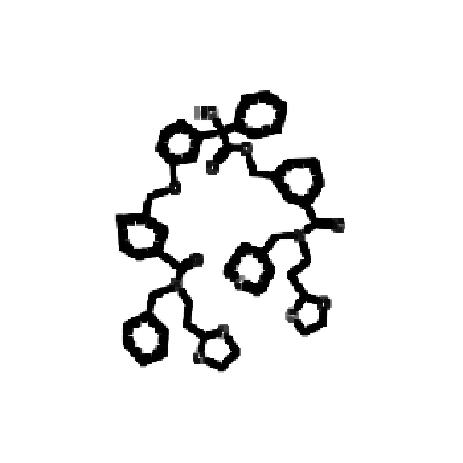 O=C(c1cccc(COC(=O)C(O)(c2ccccc2)c2cccc(OCc3cccc(C(=O)N(CCC4OCCO4)Cc4ccccc4)c3)c2)c1)N(CCC1OCCO1)Cc1ccccc1